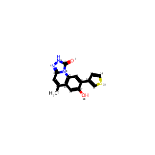 Cc1cc2n[nH]c(=O)n2c2cc(-c3ccsc3)c(O)cc12